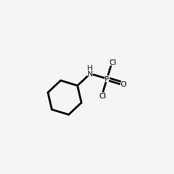 O=P(Cl)(Cl)NC1CCCCC1